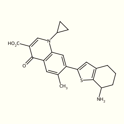 Cc1cc2c(=O)c(C(=O)O)cn(C3CC3)c2cc1-c1cc2c(s1)C(N)CCC2